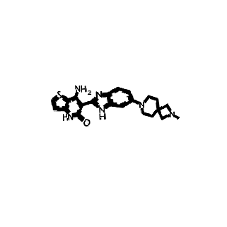 CN1CC2(CCN(c3ccc4nc(-c5c(N)c6sccc6[nH]c5=O)[nH]c4c3)CC2)C1